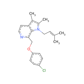 CC(C)=CCn1c(C)c(C)c2ccnc(COc3ccc(Cl)cc3)c21